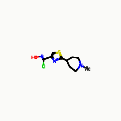 CC(=O)N1CCC(c2nc(/C(Cl)=N/O)cs2)CC1